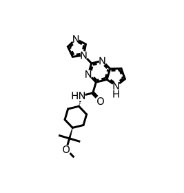 COC(C)(C)[C@H]1CC[C@H](NC(=O)c2nc(-n3ccnc3)nc3cc[nH]c23)CC1